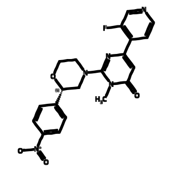 Cn1c(N2CCO[C@@H](c3ccc([N+](=O)[O-])cc3)C2)nc(-c2ccncc2F)cc1=O